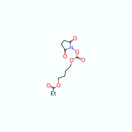 CCC(=O)OCCCCOC(=O)ON1C(=O)CCC1=O